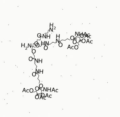 CC(=O)NC1C(OC(C)=O)[C@@H](OC(C)=O)C(COC(C)=O)O[C@H]1OCCCCC(=O)NCCCNC(=O)CCOCC(N)(COCCC(=O)NCCCN)COCCC(=O)NCCCNC(=O)CCCCO[C@@H]1OC(COC(C)=O)[C@H](OC(C)=O)C(OC(C)=O)C1NC(C)=O